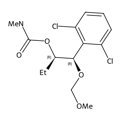 CC[C@@H](OC(=O)NC)[C@H](OCOC)c1c(Cl)cccc1Cl